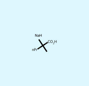 CCCC(C)(C)C(=O)O.[NaH]